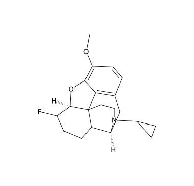 COc1ccc2c3c1O[C@@H]1C(F)CCC4[C@H](C2)N(C2CC2)CCC341